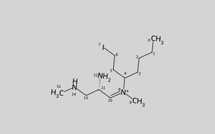 CCCCC(CCI)/[N+](C)=C\[C@@H](N)CNC